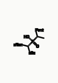 CCCCCCCCCC(CCCC)P(=O)(O)C(C)C(C)CCC